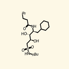 CCCCNS(=O)(=O)C[C@H](O)[C@H](O)[C@H](CC1CCCCC1)NC(=O)CCC(C)C